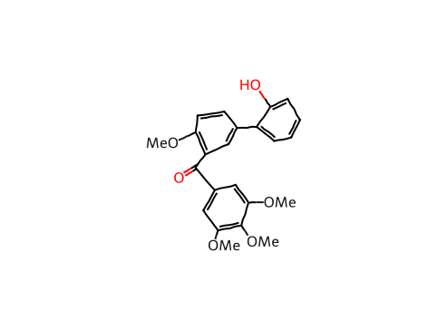 COc1ccc(-c2ccccc2O)cc1C(=O)c1cc(OC)c(OC)c(OC)c1